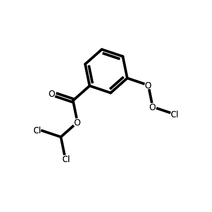 O=C(OC(Cl)Cl)c1cccc(OOCl)c1